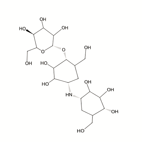 OCC1C[C@H](N[C@H]2CC(CO)[C@@H](O[C@@H]3OC(CO)[C@@H](O)C(O)C3O)C(O)C2O)C(O)C(O)[C@@H]1O